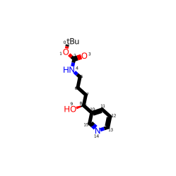 CC(C)(C)OC(=O)NCCC[C@H](O)c1cccnc1